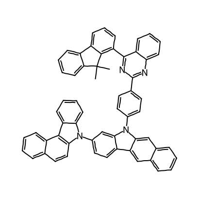 CC1(C)c2ccccc2-c2cccc(-c3nc(-c4ccc(-n5c6cc(-n7c8ccccc8c8c9ccccc9ccc87)ccc6c6cc7ccccc7cc65)cc4)nc4ccccc34)c21